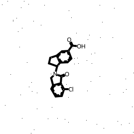 O=C(O)c1ccc2c(c1)CCC2N1Cc2cccc(Cl)c2C1=O